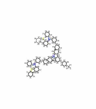 CC(C)(C)c1ccc(-c2cc3c4cc5ccc(-c6cccc(N(c7ccccc7)c7cccc8c7SC7CCCCC87)c6)cc5cc4n4c5cc6cc(-c7cccc(N(c8ccccc8)c8cccc9c8sc8ccccc89)c7)ccc6cc5c(c2)c34)cc1